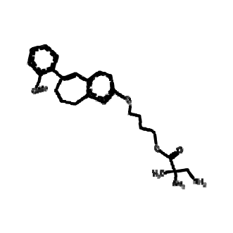 COc1ccccc1C1=Cc2ccc(OCCCCOC(=O)C(C)(N)CN)cc2CCC1